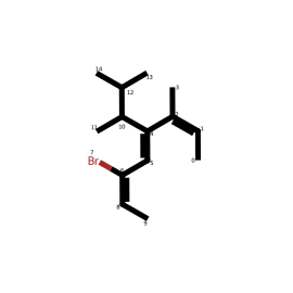 C\C=C(C)/C(=C/C(Br)=C\C)C(C)C(C)C